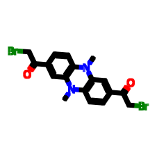 CN1c2ccc(C(=O)CBr)cc2N(C)c2ccc(C(=O)CBr)cc21